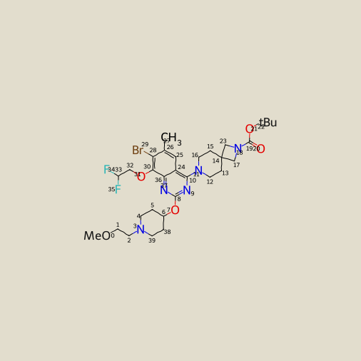 COCCN1CCC(Oc2nc(N3CCC4(CC3)CN(C(=O)OC(C)(C)C)C4)c3cc(C)c(Br)c(OCC(F)F)c3n2)CC1